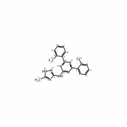 Cc1nc(Nc2cc(-c3ccccc3Cl)nc(-c3ccccc3C(F)(F)F)n2)n[nH]1